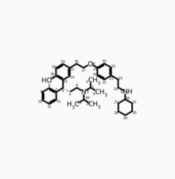 CC(C)N(CC[C@H](c1ccccc1)c1cc(CCOc2ccc(CCNC3CCCCC3)cc2)ccc1O)C(C)C